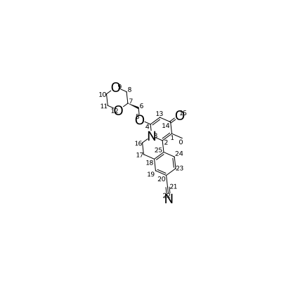 Cc1c2n(c(OC[C@@H]3COCCO3)cc1=O)CCc1cc(C#N)ccc1-2